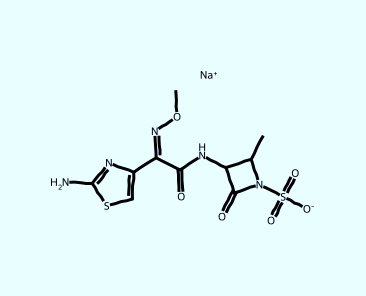 CON=C(C(=O)NC1C(=O)N(S(=O)(=O)[O-])C1C)c1csc(N)n1.[Na+]